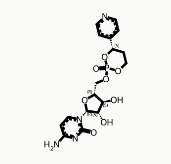 Nc1ccn([C@@H]2O[C@H](COP3(=O)OCC[C@@H](c4ccncc4)O3)[C@@H](O)[C@@H]2O)c(=O)n1